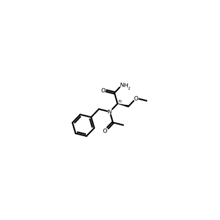 COC[C@H](C(N)=O)N(Cc1ccccc1)C(C)=O